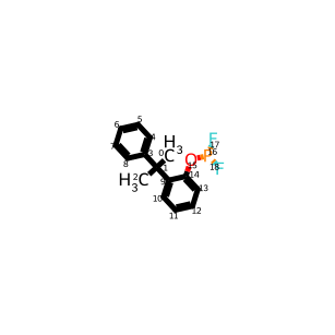 CC(C)(c1ccccc1)c1ccccc1OP(F)F